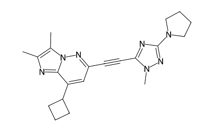 Cc1nc2c(C3CCC3)cc(C#Cc3nc(N4CCCC4)nn3C)nn2c1C